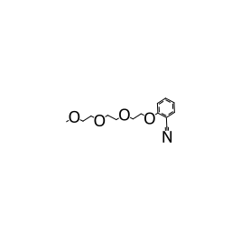 COCCOCCOCCOc1ccccc1C#N